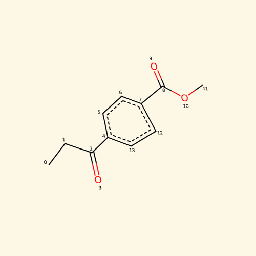 CCC(=O)c1ccc(C(=O)OC)cc1